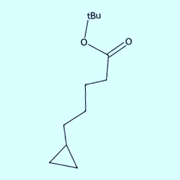 CC(C)(C)OC(=O)CCCCC1CC1